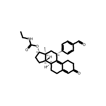 CCNC(=O)O[C@H]1CC[C@H]2[C@@H]3CCC4=CC(=O)CCC4=C3[C@@H](c3ccc(C=O)cc3)C[C@]12C